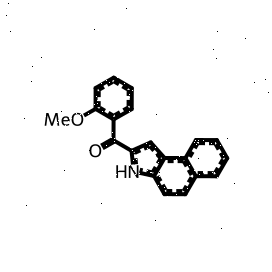 COc1ccccc1C(=O)c1cc2c(ccc3ccccc32)[nH]1